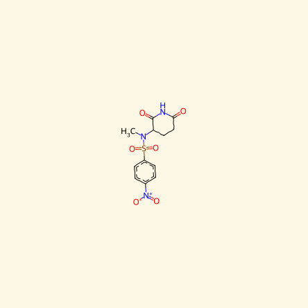 CN(C1CCC(=O)NC1=O)S(=O)(=O)c1ccc([N+](=O)[O-])cc1